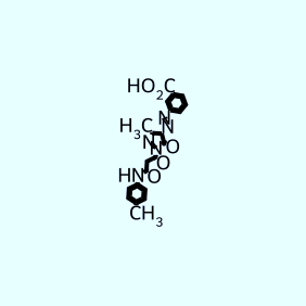 CC1=NN(C(=O)CC(=O)Nc2ccc(C)cc2)C(=O)C1/N=N/c1cccc(C(=O)O)c1